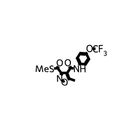 CSC(=O)c1noc(C)c1C(=O)Nc1ccc(OC(F)(F)F)cc1